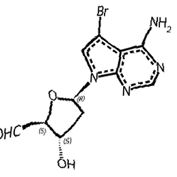 Nc1ncnc2c1c(Br)cn2[C@H]1C[C@H](O)[C@@H](C=O)O1